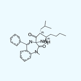 CCCC[C@@H](O)[C@@H](CC(C)C)C(=O)C1(N)N=C(c2ccccc2)c2ccccc2N(C)C1=O